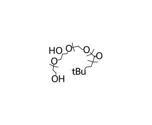 CC(C)(C)CCC(C)(C)C(=O)C(C)(C)OCCC(C)(C)OCC(O)COC(C)(C)CCO